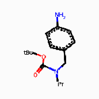 CC(C)N(Cc1ccc(N)cc1)C(=O)OC(C)(C)C